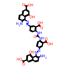 Nc1ccc2cc(C(=O)O)cc(O)c2c1N=Nc1ccc(NC(=O)Nc2ccc(N=Nc3c(N)ccc4cc(C(=O)O)cc(O)c34)cc2C(=O)O)c(C(=O)O)c1